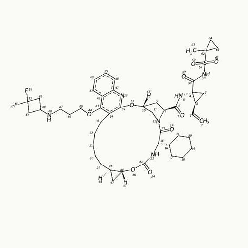 C=C[C@@H]1C[C@]1(NC(=O)[C@@H]1C[C@@H]2CN1C(=O)[C@H](C1CCCCC1)NC(=O)O[C@@H]1C[C@H]1CCCCCc1c(nc3ccccc3c1OCCCNC1CC(F)(F)C1)O2)C(=O)NS(=O)(=O)C1(C)CC1